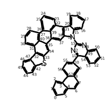 c1ccc2c(c1)ccc1cc(-c3nc(-n4c5ccccc5c5c6cccc7c8cccc9c%10c(cc(c(cc54)c76)c89)sc4ccccc4%10)nc4ccccc34)ccc12